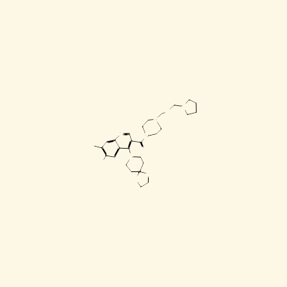 O=C(c1cnc2cc(F)c(F)cc2c1N1CCC2(CC1)OCCO2)N1CCN(COCN2CCCC2)CC1